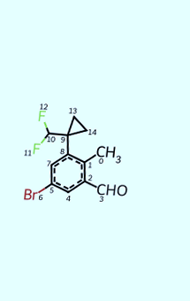 Cc1c(C=O)cc(Br)cc1C1(C(F)F)CC1